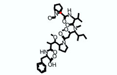 CCC(C)C(C(CC(=O)N1CCCC1C(OC)C(C)C(=O)NC(Cc1ccccc1)C(=O)O)OC)N(C)C(=O)C(NC(=O)C1C2CCC(C2)N1C=O)C(C)C